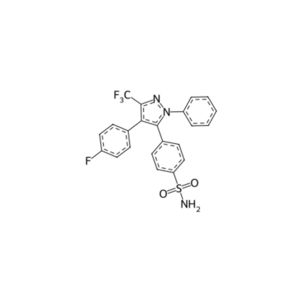 NS(=O)(=O)c1ccc(-c2c(-c3ccc(F)cc3)c(C(F)(F)F)nn2-c2ccccc2)cc1